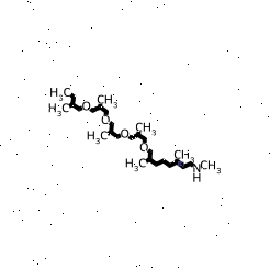 CCC(C)COCC(C)COCC(C)COCC(C)COCC(C)CCC/C(C)=C/CNC